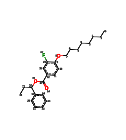 CCCCCCCCOc1ccc(C(=O)OC(CC)c2ccccc2)cc1F